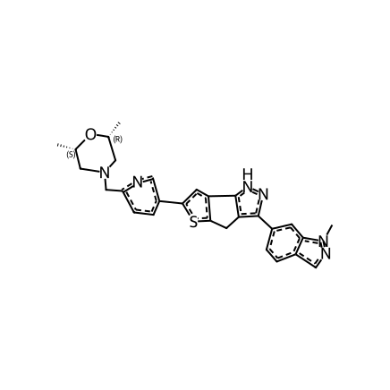 C[C@@H]1CN(Cc2ccc(-c3cc4c(s3)Cc3c(-c5ccc6cnn(C)c6c5)n[nH]c3-4)cn2)C[C@H](C)O1